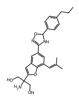 CCCc1ccc(C2NC(c3cc(C=C(C)C)c4oc(C(N)(CO)CO)cc4c3)=NO2)cc1